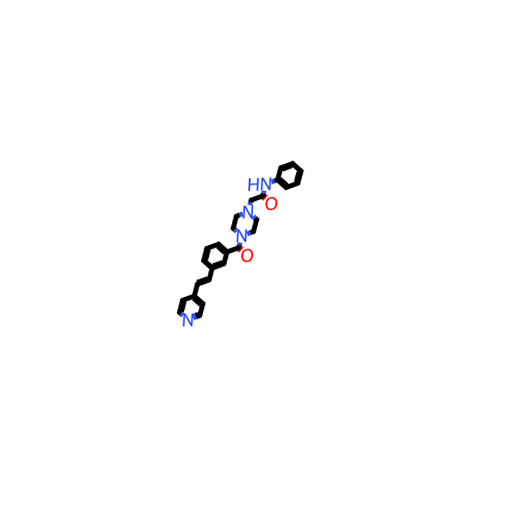 O=C(CN1CCN(C(=O)c2cccc(C=Cc3ccncc3)c2)CC1)Nc1ccccc1